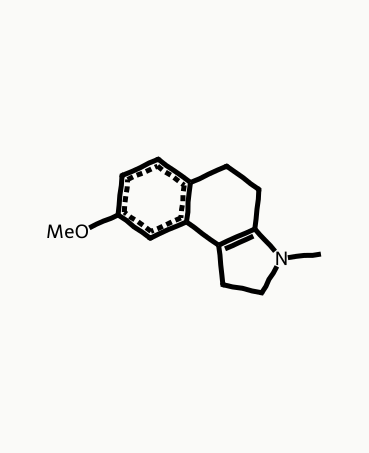 COc1ccc2c(c1)C1=C(CC2)N(C)CC1